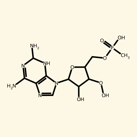 CP(=O)(O)OCC1OC(n2cnc3c2NC(N)N=C3N)C(O)C1OO